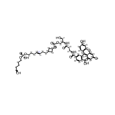 C#CCCCCOP(=O)(O)OCCC/C=C/CCC1CC(O[PH](=O)OCC(CO)NC(=O)CCNC(=O)c2ccc(C(=O)O)c(-c3c4ccc(=O)cc-4oc4cc(O)ccc34)c2)C1